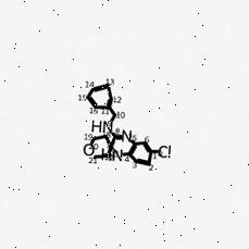 Clc1ccc2c(c1)N=C(NCc1ccccc1)C1(CCOCC1)N2